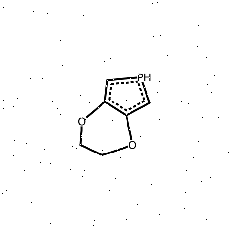 c1[pH]cc2c1OCCO2